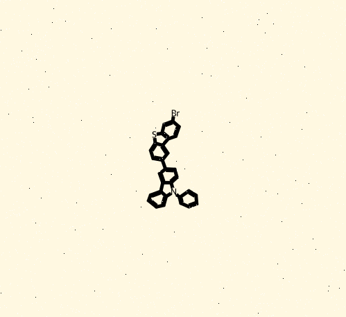 Brc1ccc2c(c1)sc1ccc(-c3ccc4c(c3)c3ccccc3n4-c3ccccc3)cc12